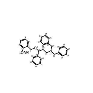 COc1ccccc1COC(CCN(Cc1ccccc1)Cc1ccccc1)c1ccccc1